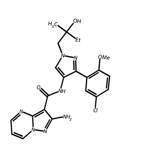 CCC(C)(O)Cn1cc(NC(=O)c2c(N)nn3cccnc23)c(-c2cc(Cl)ccc2OC)n1